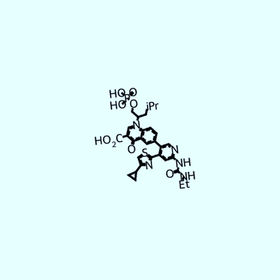 CCNC(=O)Nc1cc(-c2nc(C3CC3)cs2)c(-c2ccc3c(c2)c(=O)c(C(=O)O)cn3C(COP(=O)(O)O)CC(C)C)cn1